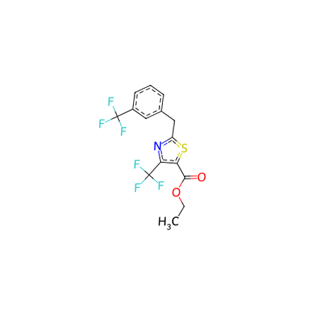 CCOC(=O)c1sc(Cc2cccc(C(F)(F)F)c2)nc1C(F)(F)F